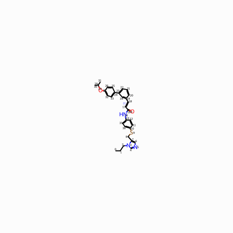 CCCn1cncc1CSc1ccc(NC(=O)/C=C/c2cccc(-c3ccc(OC(C)C)cc3)c2)cc1